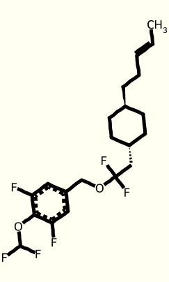 CC=CCC[C@H]1CC[C@H](CC(F)(F)OCc2cc(F)c(OC(F)F)c(F)c2)CC1